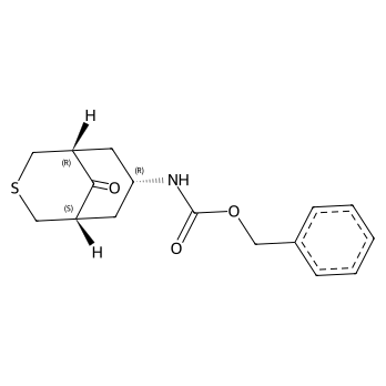 O=C(N[C@H]1C[C@H]2CSC[C@@H](C1)C2=O)OCc1ccccc1